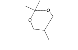 CC1COC(C)(C)OC1